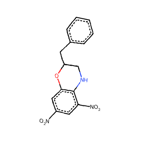 O=[N+]([O-])c1cc2c(c([N+](=O)[O-])c1)NCC(Cc1ccccc1)O2